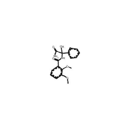 COc1cccc(C(=O)NC(O)(C(N)=O)c2ccccc2)c1OC